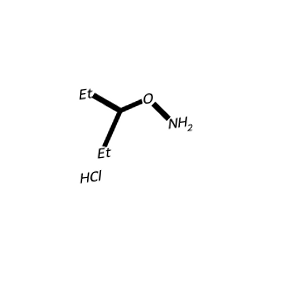 CCC(CC)ON.Cl